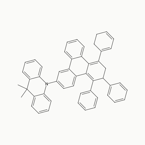 CC1(C)c2ccccc2N(c2ccc3c4c(c5ccccc5c3c2)=C(C2=CC=CCC2)CC(c2ccccc2)C=4c2ccccc2)c2ccccc21